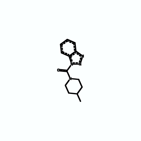 CC1CCN(C(=O)n2nnc3ccccc32)CC1